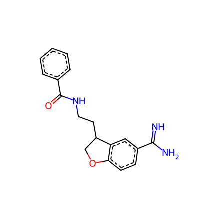 N=C(N)c1ccc2c(c1)C(CCNC(=O)c1ccccc1)CO2